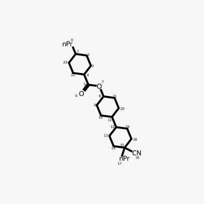 CCCC1CCC(C(=O)OC2CCC(C3CCC(C#N)(CCC)CC3)CC2)CC1